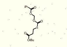 CC(C)COC(=O)CCSC(=O)OCOC(=O)C(C)C